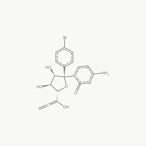 C=C=C(O)[C@H]1O[C@@](c2ccc(Br)cc2)(n2ccc(N)nc2=O)[C@H](O)[C@@H]1O